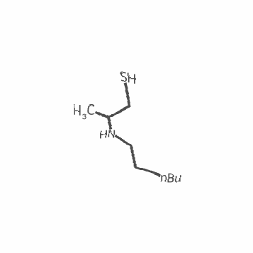 CCCCCCNC(C)CS